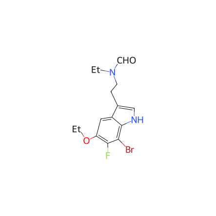 CCOc1cc2c(CCN(C=O)CC)c[nH]c2c(Br)c1F